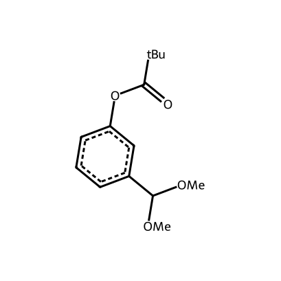 COC(OC)c1cccc(OC(=O)C(C)(C)C)c1